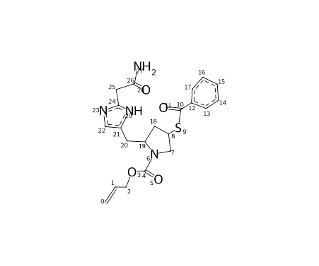 C=CCOC(=O)N1CC(SC(=O)c2ccccc2)CC1Cc1cnc(CC(N)=O)[nH]1